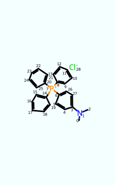 CN(C)c1ccc([P+](c2ccccc2)(c2ccccc2)c2ccccc2)cc1.[Cl-]